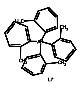 Cc1cccc[c]1[Al-]([c]1ccccc1C)([c]1ccccc1C)[c]1ccccc1C.[Li+]